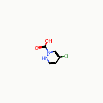 O=C(O)N1C=C(Cl)C=CN1